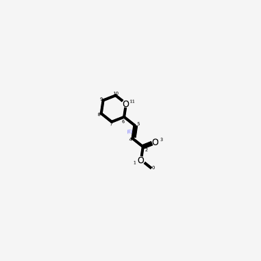 COC(=O)/C=C/C1CCCCO1